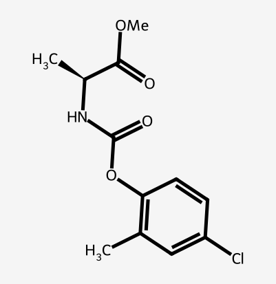 COC(=O)[C@H](C)NC(=O)Oc1ccc(Cl)cc1C